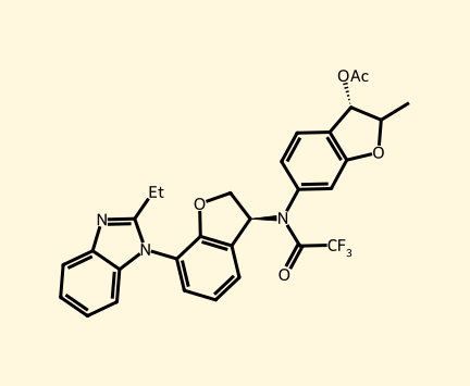 CCc1nc2ccccc2n1-c1cccc2c1OC[C@H]2N(C(=O)C(F)(F)F)c1ccc2c(c1)OC(C)[C@H]2OC(C)=O